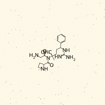 C[C@@](C=O)(CCC(NC(=N)N)c1ccccc1)N(C(=O)CN)C(=O)C1CCN1